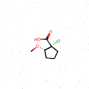 CO[C@H]1CCC[C@]1(Cl)C(=O)O